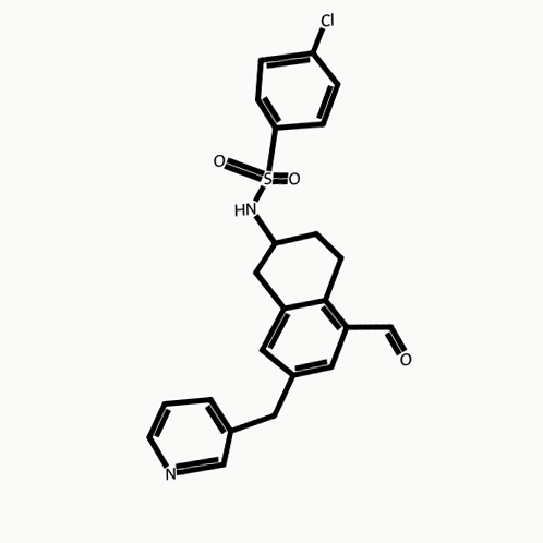 O=Cc1cc(Cc2cccnc2)cc2c1CCC(NS(=O)(=O)c1ccc(Cl)cc1)C2